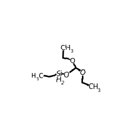 CCOC(OCC)O[SiH2]CC